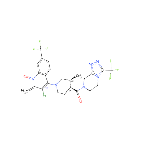 C=C/C(Cl)=C(\c1ccc(C(F)(F)F)cc1N=O)N1CC[C@H](C(=O)N2CCn3c(nnc3C(F)(F)F)C2)[C@H](C)C1